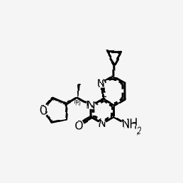 C[C@H](C1CCOC1)n1c(=O)nc(N)c2ccc(C3CC3)nc21